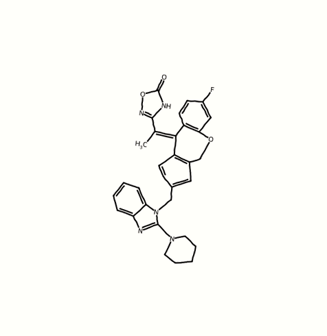 C/C(=C1\c2ccc(Cn3c(N4CCCCC4)nc4ccccc43)cc2COc2cc(F)ccc21)c1noc(=O)[nH]1